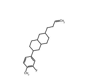 C=CCCC1CCC2CC(c3ccc(C)c(F)c3)CCC2C1